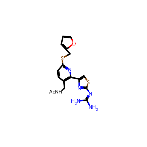 CC(=O)NCc1ccc(SCc2ccco2)nc1-c1csc(N=C(N)N)n1